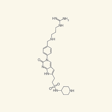 N=C(N)NCCCNCc1ccc(-n2cc3cc(CCS(=O)(=O)NC4CCNCC4)[nH]c3nc2=O)cc1